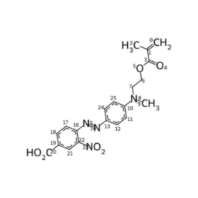 C=C(C)C(=O)OCCN(C)c1ccc(N=Nc2ccc(C(=O)O)cc2[N+](=O)[O-])cc1